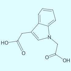 O=C(O)Cc1cn(CC(=O)O)c2ccccc12